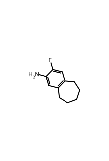 Nc1cc2c(cc1F)CCCCC2